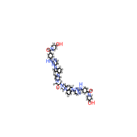 CC(C(=O)C(C)N1CCN(c2cccc3c2ccn3-c2ccnc(NC3CCC(C(=O)N4CCC(O)CC4)CC3)n2)[C@H](C)C1)N1CCN(c2cccc3c2ccn3-c2ccnc(NC3CCC(C(=O)N4CCC(O)CC4)CC3)n2)[C@H](C)C1